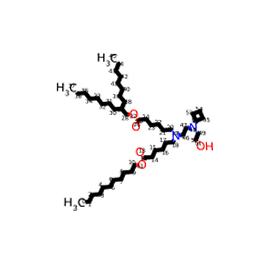 CCCCCCCCCCCOC(=O)CCCCCN(CCCCCC(=O)OCC(CCCCCCCC)CCCCCCCC)CCN(CCO)C1CCC1